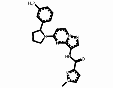 Cn1ccc(C(=O)Nc2cnn3ccc(N4CCCC4c4cccc(P)c4)nc23)n1